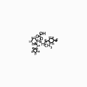 CC(CSC1=C(OC(=O)O)C=CCN1Cc1cccs1)Sc1ccc(F)cc1